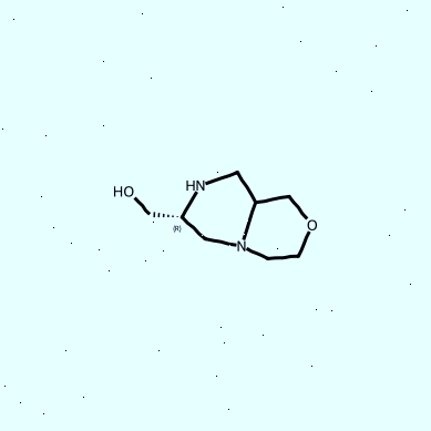 OC[C@H]1CN2CCOCC2CN1